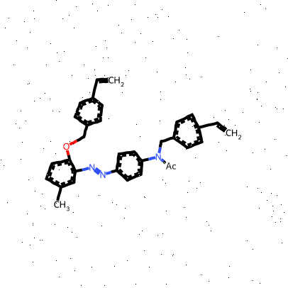 C=Cc1ccc(COc2ccc(C)cc2N=Nc2ccc(N(Cc3ccc(C=C)cc3)C(C)=O)cc2)cc1